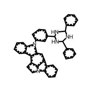 c1ccc(C2NC(c3ccccc3)NC(c3cccc(-n4c5ccccc5c5c6ccn7c8ccccc8c(cc54)c67)c3)N2)cc1